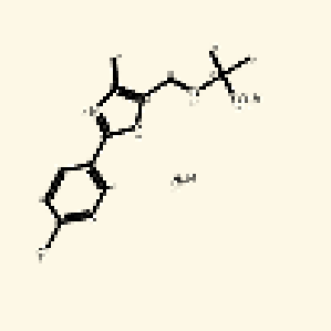 Cc1nc(-c2ccc(Cl)cc2)oc1COC(C)(C)C(=O)O.[NaH]